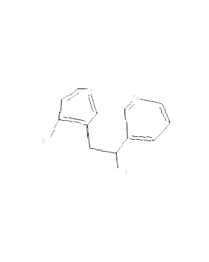 CC(C)c1ccncc1CC(C)c1cccnc1